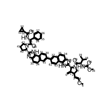 C=C1C(/C=C/OC)CN(C(=O)[C@@H](NC(=O)OC)C(C)C)[C@@H]1c1nc2ccc3cc(-c4ccc5c(ccc6nc([C@@H]7CCCN7C(=O)[C@H](NC(=O)C7CC7)c7ccccc7)[nH]c65)c4)ccc3c2[nH]1